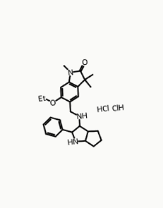 CCOc1cc2c(cc1CNC1C(c3ccccc3)NC3CCCC31)C(C)(C)C(=O)N2C.Cl.Cl